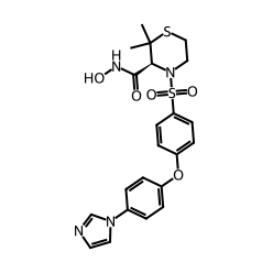 CC1(C)SCCN(S(=O)(=O)c2ccc(Oc3ccc(-n4ccnc4)cc3)cc2)[C@H]1C(=O)NO